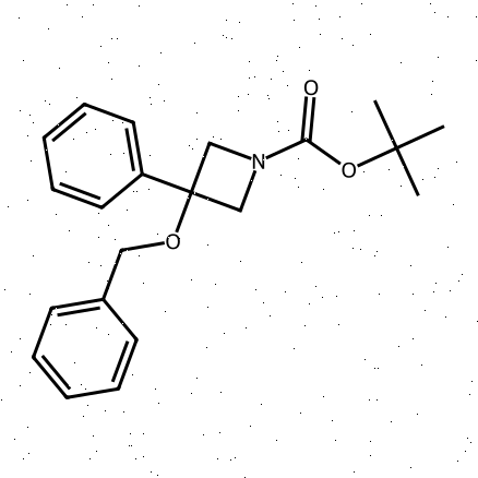 CC(C)(C)OC(=O)N1CC(OCc2ccccc2)(c2ccccc2)C1